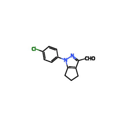 O=Cc1nn(-c2ccc(Cl)cc2)c2c1CCC2